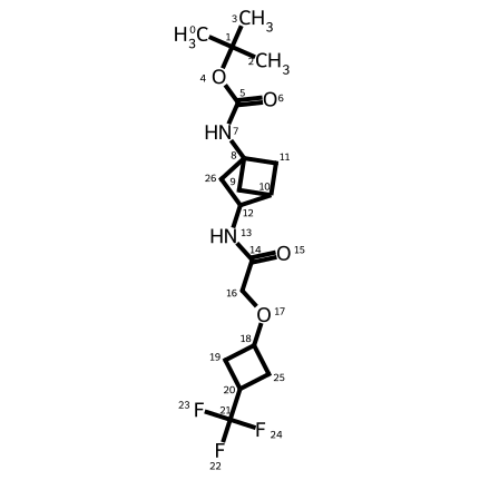 CC(C)(C)OC(=O)NC12CC(C1)C(NC(=O)COC1CC(C(F)(F)F)C1)C2